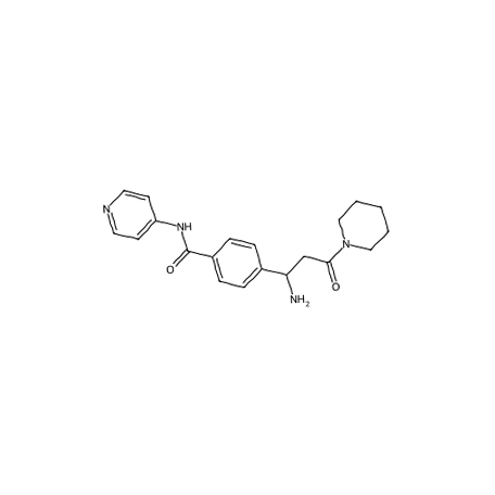 NC(CC(=O)N1CCCCC1)c1ccc(C(=O)Nc2ccncc2)cc1